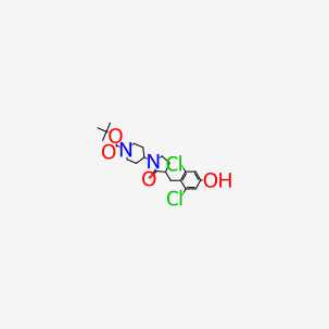 CC(C)(C)OC(=O)N1CCC(N2CCC(Cc3c(Cl)cc(O)cc3Cl)C2=O)CC1